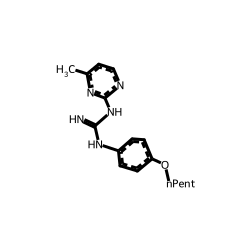 CCCCCOc1ccc(NC(=N)Nc2nccc(C)n2)cc1